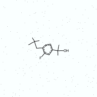 CC(C)(C)Cc1ccc(C(C)(C)O)cc1F